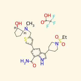 CCS(=O)(=O)N1CCC(c2c[nH]c3c(C(N)=O)cc(-c4csc(CN(C)[C@@H]5CCC[C@H]5O)c4)cc23)CC1.O=C(O)C(F)(F)F